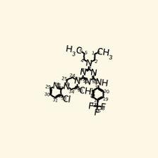 CCCN(CCC)c1nc(Nc2ccc(C(F)(F)F)cc2)nc(N2CCN(c3ncccc3Cl)C[C@H]2C)n1